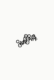 COc1ccc(-c2ccc(CC(C)(C)C)o2)c2[nH]cc(C(=O)C(=O)N3CCN(C(=O)c4ccccc4)CC3)c12